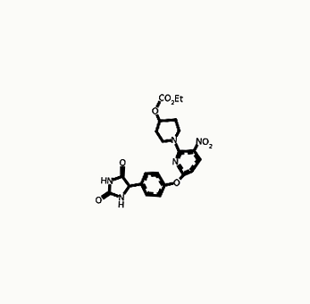 CCOC(=O)OC1CCN(c2nc(Oc3ccc(C4NC(=O)NC4=O)cc3)ccc2[N+](=O)[O-])CC1